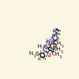 Cc1cc(NC(=O)c2c(C)c(C(=O)C(=O)NC3(C)CCN(c4nc#cs4)CC3)n(C)c2C)ccc1F